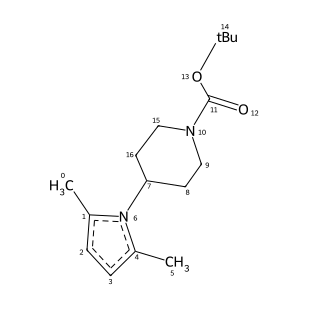 Cc1ccc(C)n1C1CCN(C(=O)OC(C)(C)C)CC1